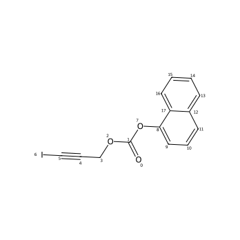 O=C(OCC#CI)Oc1cccc2ccccc12